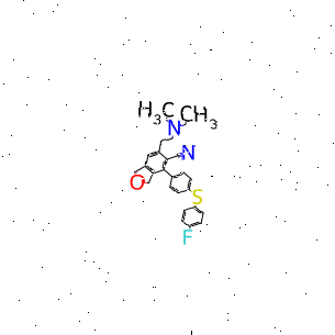 CCN(CC)CCc1cc2c(c(-c3ccc(Sc4ccc(F)cc4)cc3)c1C#N)COC2